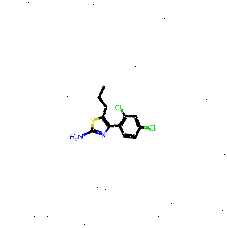 CCCc1sc(N)nc1-c1ccc(Cl)cc1Cl